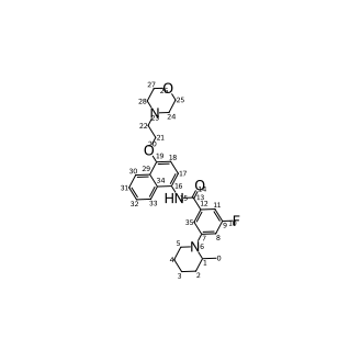 CC1CCCCN1c1cc(F)cc(C(=O)Nc2ccc(OCCN3CCOCC3)c3ccccc23)c1